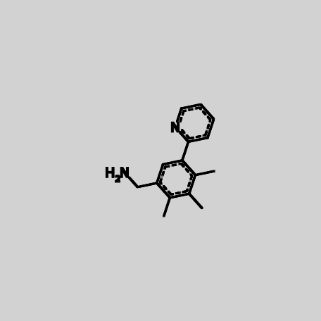 Cc1c(CN)cc(-c2ccccn2)c(C)c1C